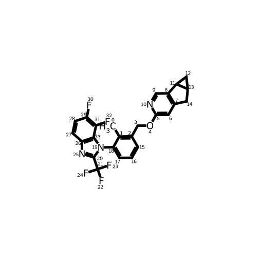 Cc1c(COc2cc3c(cn2)C2CC2C3)cccc1-n1c(C(F)(F)F)nc2ccc(F)c(F)c21